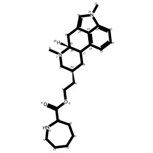 CN1C[C@H](CCOC(=O)C2CCCCCN2)CC2c3cccc4c3c(cn4C)C[C@H]21